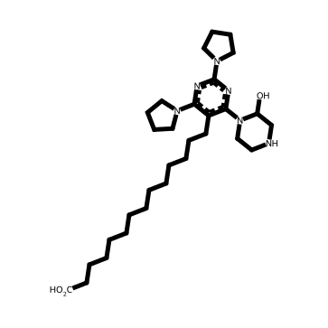 O=C(O)CCCCCCCCCCCCCc1c(N2CCCC2)nc(N2CCCC2)nc1N1CCNCC1O